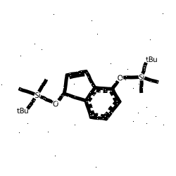 CC(C)(C)[Si](C)(C)Oc1cccc2c1C=CC2O[Si](C)(C)C(C)(C)C